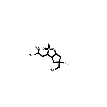 CCC1(C)CC2OS(=O)(=O)C(CC(C)C)C2C1